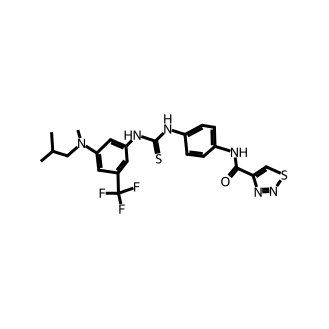 CC(C)CN(C)c1cc(NC(=S)Nc2ccc(NC(=O)c3csnn3)cc2)cc(C(F)(F)F)c1